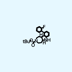 CC(C)(C)OC(=O)N1CC[C@@H]2Nc3cccc(-c4ccccc4F)c3[C@@H]2CC1